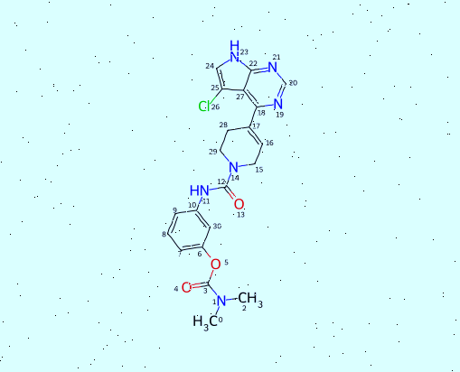 CN(C)C(=O)Oc1cccc(NC(=O)N2CC=C(c3ncnc4[nH]cc(Cl)c34)CC2)c1